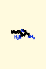 COc1ncc(CN)cc1N